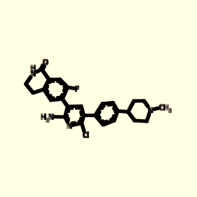 CN1CCC(c2ccc(-c3cc(-c4cc5c(cc4F)C(=O)NCC5)c(N)nc3Cl)cc2)CC1